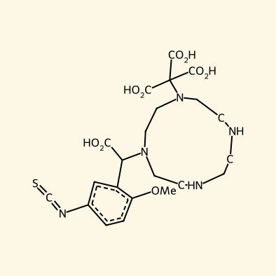 COc1ccc(N=C=S)cc1C(C(=O)O)N1CCNCCNCCN(C(C(=O)O)(C(=O)O)C(=O)O)CC1